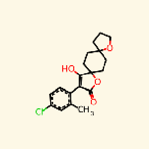 Cc1cc(Cl)ccc1C1=C(O)C2(CCC3(CCCO3)CC2)OC1=O